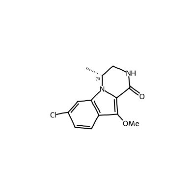 COc1c2n(c3cc(Cl)ccc13)[C@H](C)CNC2=O